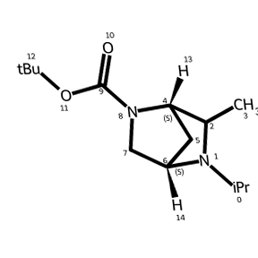 CC(C)N1C(C)[C@@H]2C[C@H]1CN2C(=O)OC(C)(C)C